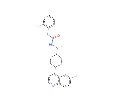 C[C@@H](NC(=O)Cc1ccccc1F)C1CCC(c2ccnc3ccc(F)cc23)CC1